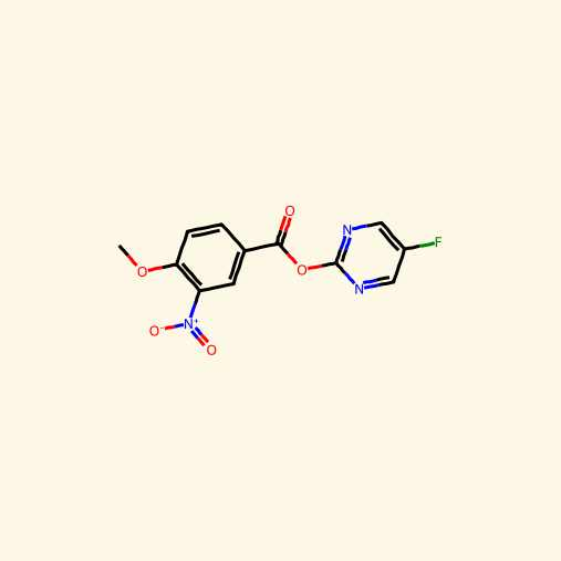 COc1ccc(C(=O)Oc2ncc(F)cn2)cc1[N+](=O)[O-]